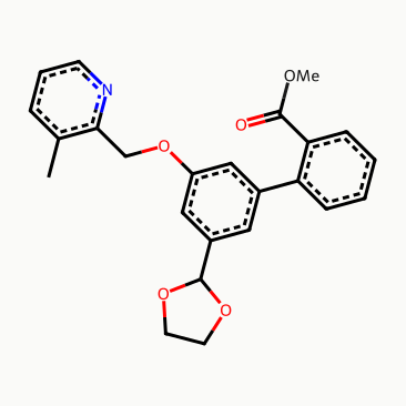 COC(=O)c1ccccc1-c1cc(OCc2ncccc2C)cc(C2OCCO2)c1